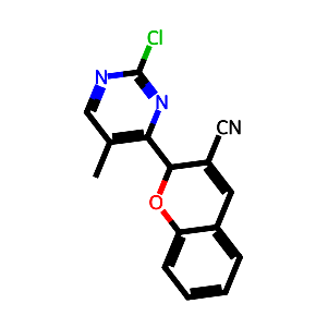 Cc1cnc(Cl)nc1C1Oc2ccccc2C=C1C#N